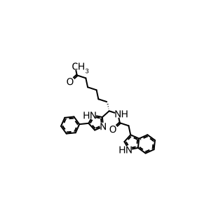 CC(=O)CCCCC[C@H](NC(=O)Cc1c[nH]c2ccccc12)c1ncc(-c2ccccc2)[nH]1